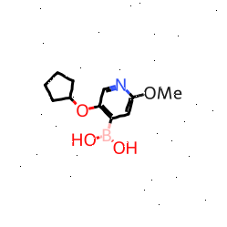 COc1cc(B(O)O)c(OC2CCCC2)cn1